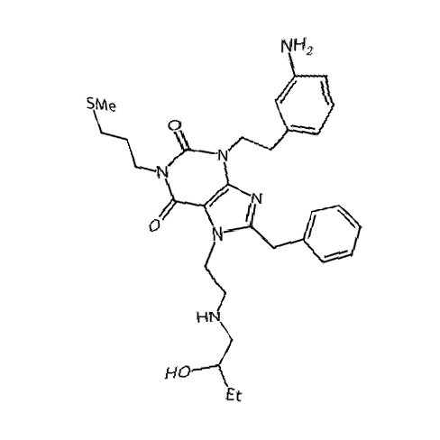 CCC(O)CNCCn1c(Cc2ccccc2)nc2c1c(=O)n(CCCSC)c(=O)n2CCc1cccc(N)c1